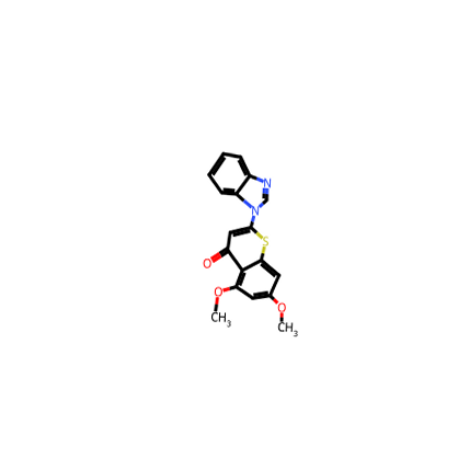 COc1cc(OC)c2c(=O)cc(-n3cnc4ccccc43)sc2c1